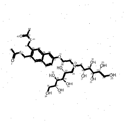 CC(=O)SCc1cc2ccc(OCCN(C[C@@H](O)[C@@H](O)[C@H](O)[C@H](O)CO)C[C@@H](O)[C@@H](O)[C@H](O)[C@H](O)CO)cc2cc1CSC(C)=O